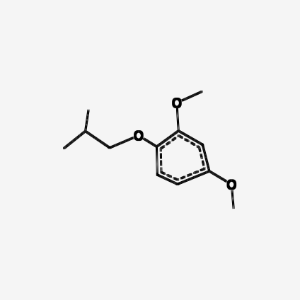 COc1ccc(OCC(C)C)c(OC)c1